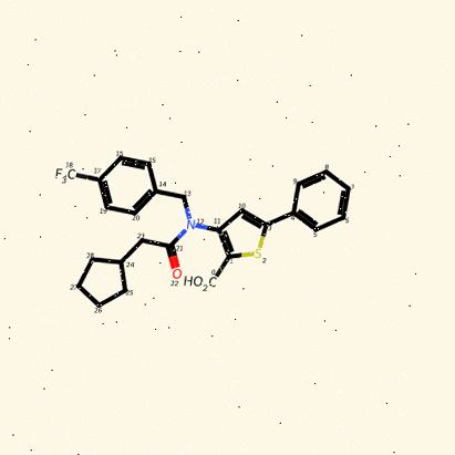 O=C(O)c1sc(-c2ccccc2)cc1N(Cc1ccc(C(F)(F)F)cc1)C(=O)CC1CCCC1